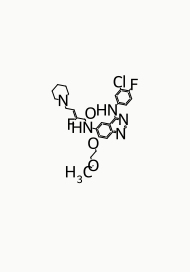 COCCOc1cc2ncnc(Nc3ccc(F)c(Cl)c3)c2cc1NC(=O)C(F)=CCN1CCCCC1